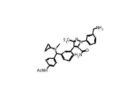 CC(=O)Nc1ccc(C(c2cccc(-c3c(C(F)(F)F)nn(-c4cccc(CN)c4)c3C(N)=O)c2)N(C)C2CC2)cc1